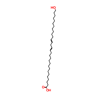 O=C(O)CCCCCCCCCCCCCC=CCC=CCCCCCCCCCCCO